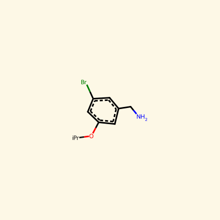 CC(C)Oc1cc(Br)cc(CN)c1